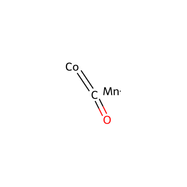 O=[C]=[Co].[Mn]